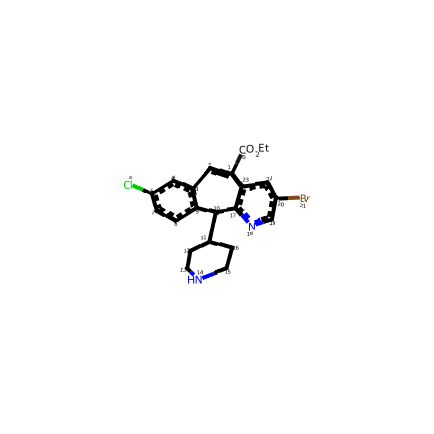 CCOC(=O)C1=Cc2cc(Cl)ccc2C(C2CCNCC2)c2ncc(Br)cc21